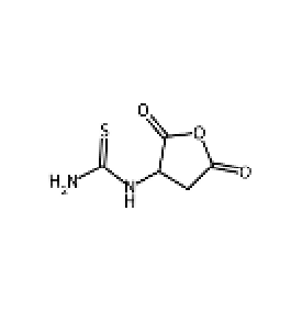 NC(=S)NC1CC(=O)OC1=O